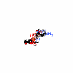 CCOC(=O)[C@H](C)NP(=O)(OC[C@H]1O[C@@](C=NC)(c2ccc3c(N)ncnn23)[C@H](O)[C@@H]1O)Oc1ccc(C23CC(C2)C3)cc1